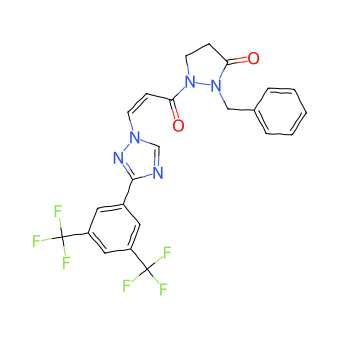 O=C(/C=C\n1cnc(-c2cc(C(F)(F)F)cc(C(F)(F)F)c2)n1)N1CCC(=O)N1Cc1ccccc1